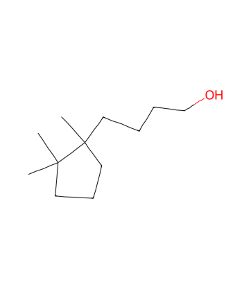 CC1(C)CCCC1(C)CCCCO